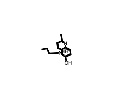 CCCN1C=C2C(O)=CC=C3N=C(C)C=CC32N1